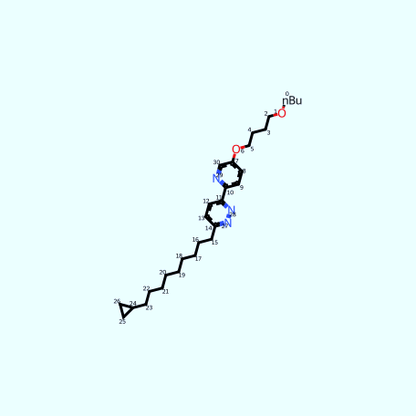 CCCCOCCCCOc1ccc(-c2ccc(CCCCCCCCCC3CC3)nn2)nc1